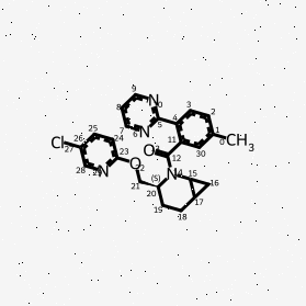 Cc1ccc(-c2ncccn2)c(C(=O)N2C3CC3CC[C@H]2COc2ccc(Cl)cn2)c1